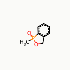 CP1(=O)OCc2ccccc21